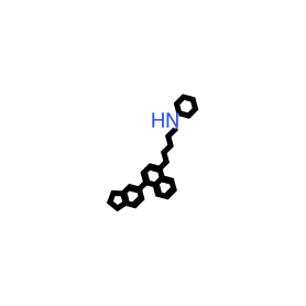 c1ccc2c(-c3ccc4c(c3)CCC4)ccc(CCCCCNC3CCCCC3)c2c1